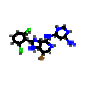 Nc1cc(Nc2ncc(Br)c3[nH]c(-c4c(Cl)cccc4Cl)nc23)ncn1